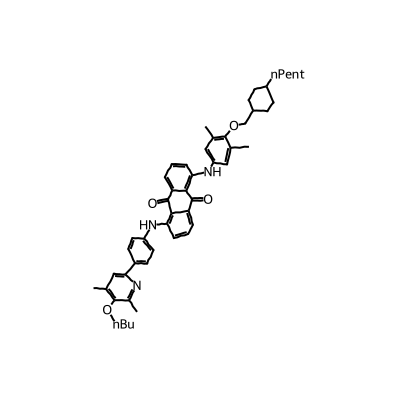 CCCCCC1CCC(COc2c(C)cc(Nc3cccc4c3C(=O)c3cccc(Nc5ccc(-c6cc(C)c(OCCCC)c(C)n6)cc5)c3C4=O)cc2C)CC1